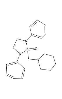 O=P1(CN2CCCCC2)N(c2ccccc2)CCN1c1ccccc1